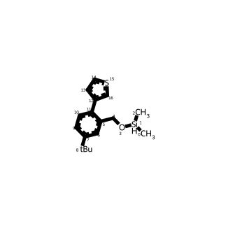 C[SiH](C)OCc1cc(C(C)(C)C)ccc1-c1ccsc1